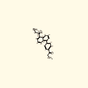 BCC(=O)c1ccc(-c2cccc3c(C(=O)CB)cccc23)cc1